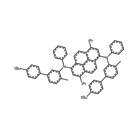 Cc1ccc(-c2ccc(C(C)(C)C)cc2)cc1N(c1ccccc1)c1cc(C(C)C)c2ccc3c(N(c4ccccc4)c4cc(-c5ccc(C(C)(C)C)cc5)ccc4C)cc(C(C)C)c4ccc1c2c43